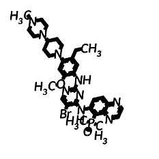 CCc1cc(Nc2ncc(Br)c(Nc3ccc4nccnc4c3P(C)(C)=O)n2)c(OC)cc1N1CCC(N2CCN(C)CC2)CC1